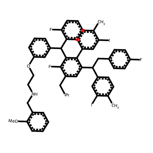 COc1ccccc1CNCCOc1cccc(C(c2ccccc2F)c2c(F)c(CC(C)C)cc([C](Cc3ccc(F)cc3)c3ccc(C)c(I)c3)c2-c2ccc(C)c(I)c2)c1